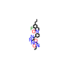 C=CC(=O)N(C)CCOc1c(N)ncnc1-c1cccc(-n2ccc3cc(CCC)cc(F)c3c2=O)c1